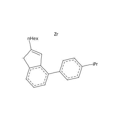 CCCCCCC1=Cc2c(cccc2-c2ccc(C(C)C)cc2)[CH]1.[Zr]